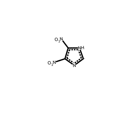 O=[N+]([O-])c1n[c][nH]c1[N+](=O)[O-]